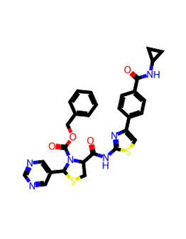 O=C(NC1CC1)c1ccc(-c2csc(NC(=O)C3CSC(c4cncnc4)N3C(=O)OCc3ccccc3)n2)cc1